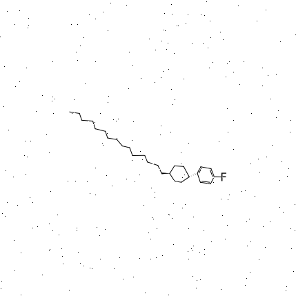 CCCCCCCCCCCCCCC[C@H]1CC[C@H](c2ccc(F)cc2)CC1